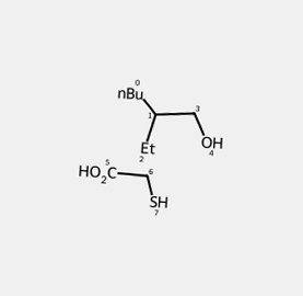 CCCCC(CC)CO.O=C(O)CS